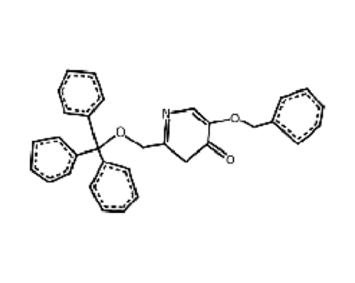 O=C1CC(COC(c2ccccc2)(c2ccccc2)c2ccccc2)=NC=C1OCc1ccccc1